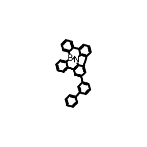 c1ccc(-c2cccc(-c3cc4c5c(c3)c3cccc6c3n5B(c3ccccc3-6)c3ccccc3-4)c2)cc1